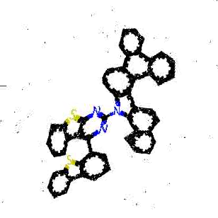 c1ccc2c(c1)ccc1c3c4c5ccccc5c5ccccc5c4ccc3n(-c3nc(-c4cccc5c4sc4ccccc45)c4c(n3)sc3ccccc34)c21